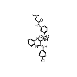 CN(C)CC(=O)Nc1cccc(S(=O)(=O)Nc2nc3ccccc3nc2Nc2ccc(Cl)cc2)c1